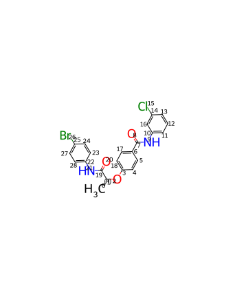 C[C@@H](Oc1ccc(C(=O)Nc2cccc(Cl)c2)cc1)C(=O)Nc1ccc(Br)cc1